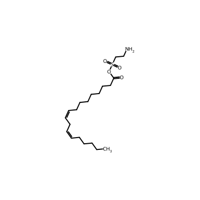 CCCCC/C=C\C/C=C\CCCCCCCC(=O)OS(=O)(=O)CCN